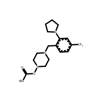 CC(C)(C)C(=O)ON1CCN(Cc2ccc(C(F)(F)F)cc2N2CCCC2)CC1